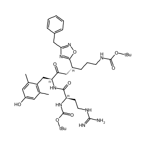 Cc1cc(O)cc(C)c1C[C@H](NC(=O)[C@@H](CCNC(=N)N)NC(=O)OC(C)(C)C)C(=O)C[C@@H](CCCNC(=O)OC(C)(C)C)c1nc(Cc2ccccc2)no1